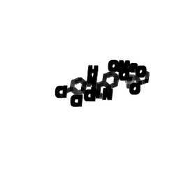 COc1cc2c(Nc3ccc(Cl)c(Cl)c3Cl)ncnc2cc1O[C@@H]1COC2CCOC21